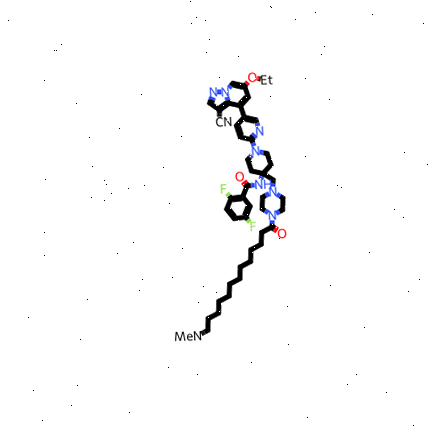 CCOc1cc(-c2ccc(N3CCC(CN4CCN(C(=O)CCCCCCCCCCCCNC)CC4)(NC(=O)c4cc(F)ccc4F)CC3)nc2)c2c(C#N)cnn2c1